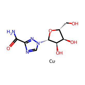 NC(=O)c1ncn([C@@H]2O[C@H](CO)[C@@H](O)[C@H]2O)n1.[Cu]